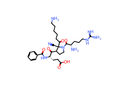 N#CC1(C(=O)CCCCCN)C(C(=O)[C@H](CCC(=O)O)NC(=O)c2ccccc2)CCN1C(=O)[C@@H](N)CCCNC(=N)N